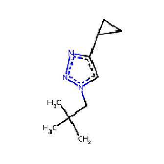 CC(C)(C)Cn1cc(C2CC2)nn1